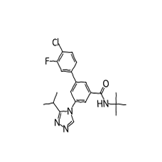 CC(C)c1nncn1-c1cc(C(=O)NC(C)(C)C)cc(-c2ccc(Cl)c(F)c2)c1